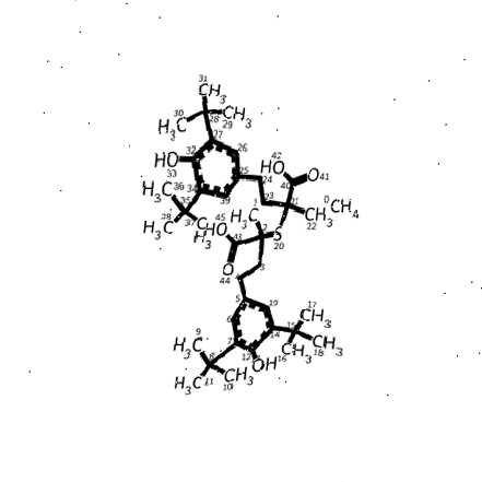 C.CC(CCc1cc(C(C)(C)C)c(O)c(C(C)(C)C)c1)(SC(C)(CCc1cc(C(C)(C)C)c(O)c(C(C)(C)C)c1)C(=O)O)C(=O)O